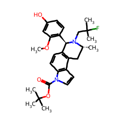 COc1cc(O)ccc1[C@@H]1c2ccc3c(ccn3C(=O)OC(C)(C)C)c2C[C@@H](C)N1CC(C)(C)F